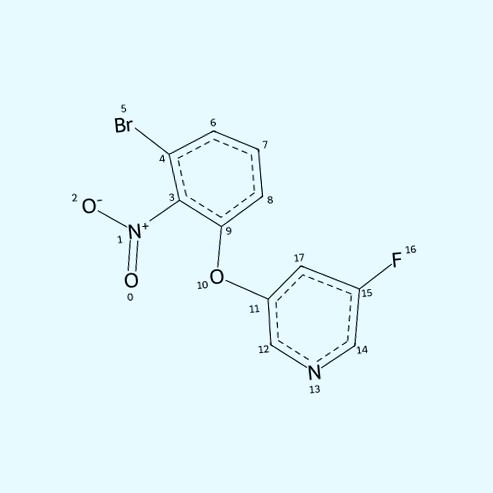 O=[N+]([O-])c1c(Br)cccc1Oc1cncc(F)c1